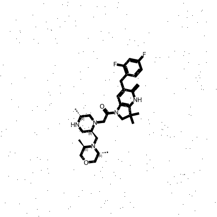 C=C1NC2=C(C=C1Cc1ccc(F)cc1F)N(C(=O)CN1C[C@@H](C)NC[C@@H]1CN1[C@H](C)COC[C@H]1C)CC2(C)C